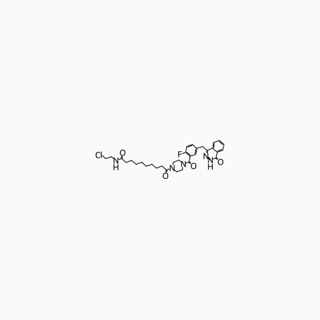 O=C(CCCCCCCCC(=O)N1CCN(C(=O)c2cc(Cc3n[nH]c(=O)c4ccccc34)ccc2F)CC1)NCCCl